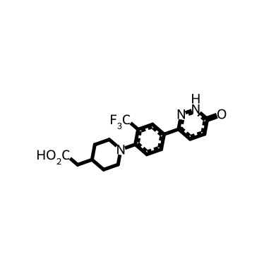 O=C(O)CC1CCN(c2ccc(-c3ccc(=O)[nH]n3)cc2C(F)(F)F)CC1